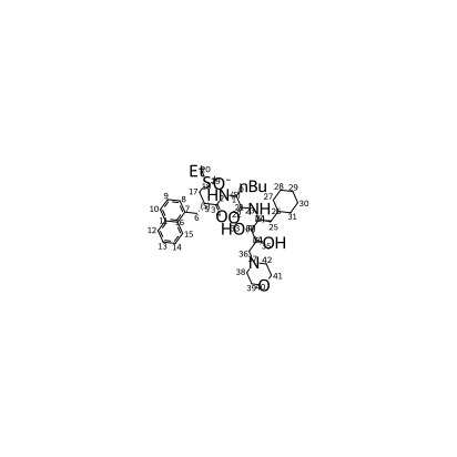 CCCC[C@H](NC(=O)[C@H](Cc1cccc2ccccc12)C[S+]([O-])CC)C(=O)N[C@@H](CC1CCCCC1)[C@@H](O)[C@@H](O)CN1CCOCC1